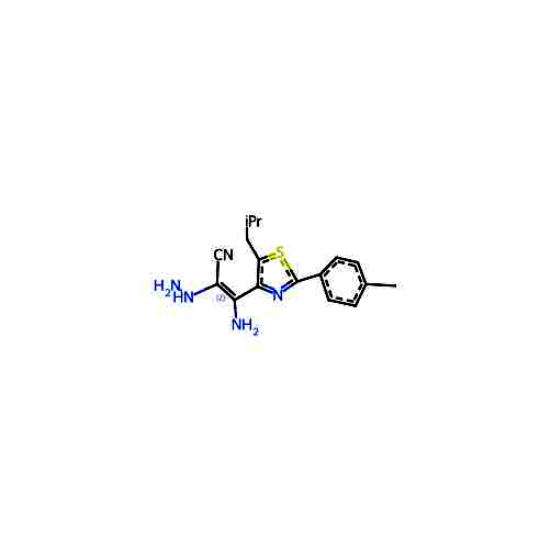 Cc1ccc(-c2nc(/C(N)=C(\C#N)NN)c(CC(C)C)s2)cc1